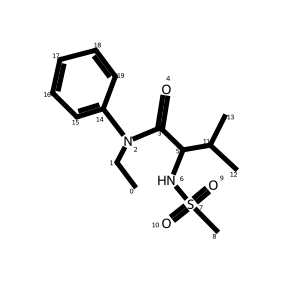 CCN(C(=O)C(NS(C)(=O)=O)C(C)C)c1ccccc1